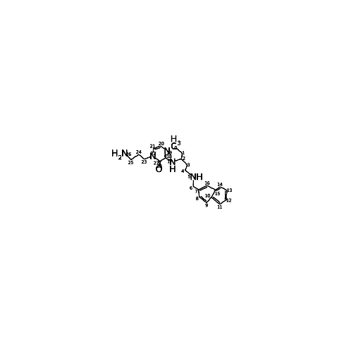 CCC(CCNCc1ccc2ccccc2c1)Nc1nccn(CCCN)c1=O